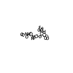 C[C@H](NC(=O)C(C)(F)F)[C@H](Oc1ccc2c(cnn2-c2cccc(C(=O)N[C@H]3CCOC3)c2)c1)c1ccc2c(c1)OOCC2